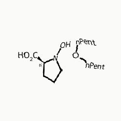 CCCCCOCCCCC.O=C(O)[C@@H]1CCCN1O